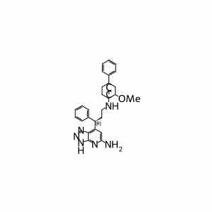 COC1CC2(c3ccccc3)CCC1(NCC[C@H](c1ccccc1)c1cc(N)nc3[nH]nnc13)CC2